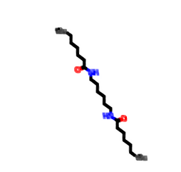 CC(C)(C)CCCCCC(=O)NCCCCCCNC(=O)CCCCCC(C)(C)C